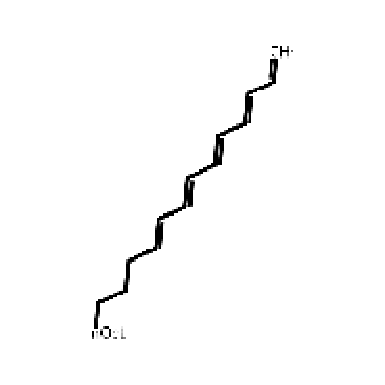 [CH]=CC=CC=CC=CC=CCCCCCCCCCCC